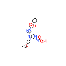 CN(C(=O)O)c1cc2c(cn1)c(-c1cnn(C3COC(c4ccccc4)OC3)c1)nn2C1CCC(O[Si](C)(C)C(C)(C)C)CC1